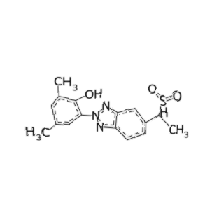 Cc1cc(C)c(O)c(-n2nc3ccc(C(C)[SH](=O)=O)cc3n2)c1